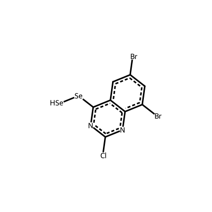 Clc1nc([Se][SeH])c2cc(Br)cc(Br)c2n1